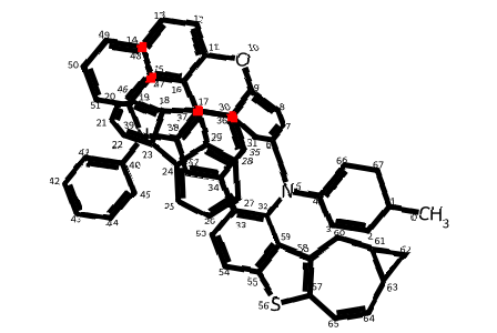 CC1C=CC(N(C2=CC=C3Oc4ccccc4C4(c5ccccc5-c5ccccc54)C3C2)c2c(-c3cccc(N(c4ccccc4)c4ccccc4)c3)ccc3sc4c(c23)CC2CC2C=C4)=CC1